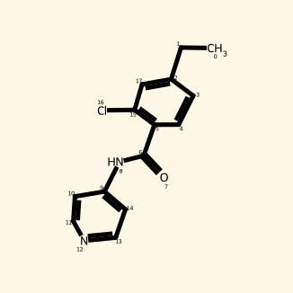 CCc1ccc(C(=O)Nc2ccncc2)c(Cl)c1